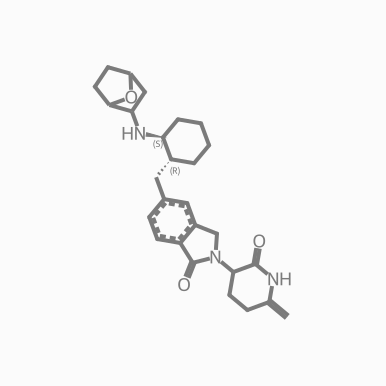 C=C1CCC(N2Cc3cc(C[C@H]4CCCC[C@@H]4NC4CC5CCC4O5)ccc3C2=O)C(=O)N1